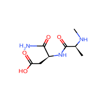 CN[C@@H](C)C(=O)N[C@@H](CC(=O)O)C(N)=O